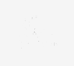 CCCc1ccc(OCc2c(-c3ccc(F)cc3)csc2C(F)(F)F)c(C)c1C